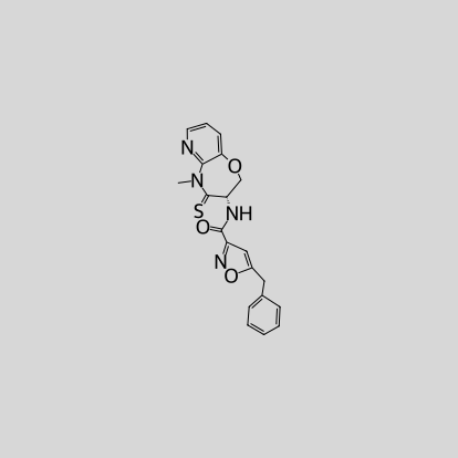 CN1C(=S)[C@@H](NC(=O)c2cc(Cc3ccccc3)on2)COc2cccnc21